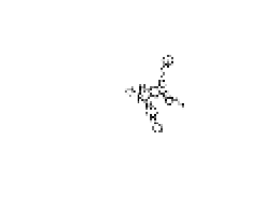 COc1cc2c(N3CCN(C4CCCC4)CC3)nc(Cl)nc2cc1OCCCN1CCCC1